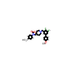 CCOc1ccc(-c2cc(F)c(F)c(CN3CCCC4(CC3)CN(c3ccc(C(=O)O)cc3)C(=O)O4)c2)cc1